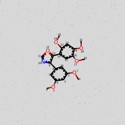 COc1cc(OC)cc(-c2ncoc2-c2cc(OC)c(OC)cc2OC)c1